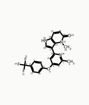 Cc1cc(Oc2ccc(C(F)(F)F)cc2)cc(-c2c[nH]c3ccc(=O)n(C)c23)n1